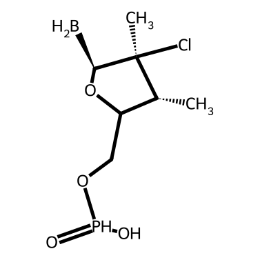 B[C@@H]1OC(CO[PH](=O)O)[C@@H](C)[C@]1(C)Cl